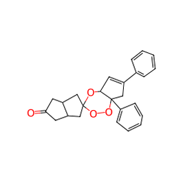 O=C1CC2CC3(CC2C1)OOC1(c2ccccc2)CC(c2ccccc2)=CC1O3